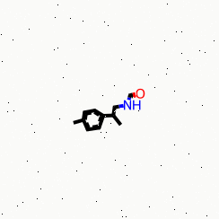 Cc1ccc(C(C)CNC=O)cc1